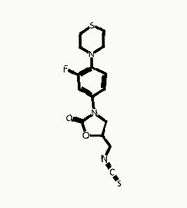 O=C1OC(CN=C=S)CN1c1ccc(N2CCSCC2)c(F)c1